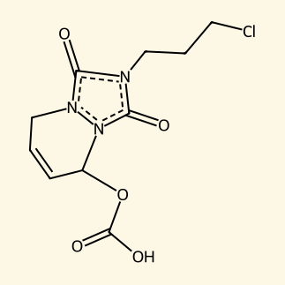 O=C(O)OC1C=CCn2c(=O)n(CCCCl)c(=O)n21